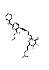 CCCNc1nc(NC2CCCCC2)ncc1C#CCCCNC(=O)[C@H](C)N(C)C(=O)/C=C/CN(C)C